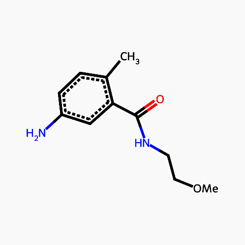 COCCNC(=O)c1cc(N)ccc1C